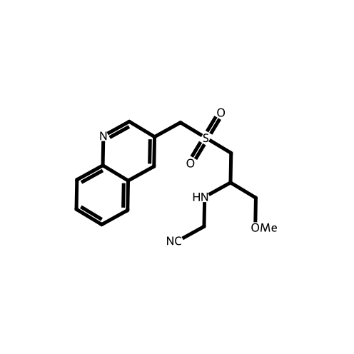 COCC(CS(=O)(=O)Cc1cnc2ccccc2c1)NCC#N